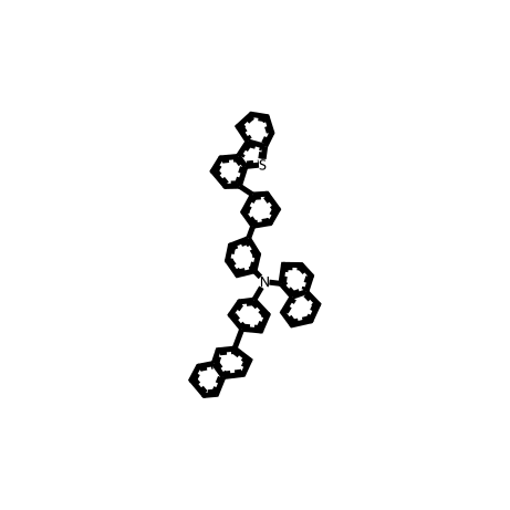 c1cc(-c2cccc(N(c3ccc(-c4ccc5ccccc5c4)cc3)c3cccc4ccccc34)c2)cc(-c2cccc3c2sc2ccccc23)c1